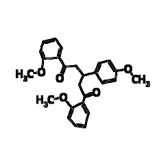 COc1ccc(C(CC(=O)c2ccccc2OC)CC(=O)c2ccccc2OC)cc1